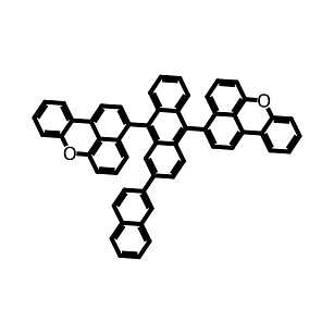 c1ccc2c(c1)Oc1cccc3c(-c4c5ccccc5c(-c5ccc6c7c(cccc57)Oc5ccccc5-6)c5cc(-c6ccc7ccccc7c6)ccc45)ccc-2c13